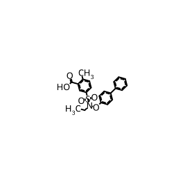 CCN(Oc1ccc(-c2ccccc2)cc1)S(=O)(=O)c1ccc(C)c(C(=O)O)c1